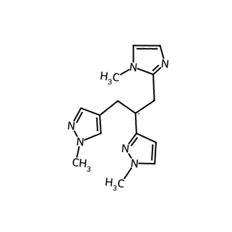 Cn1cc(C[C](Cc2nccn2C)c2ccn(C)n2)cn1